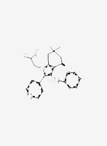 CC1(C)CC(=O)c2c(Nc3ccccc3)c(-c3ccncc3)n(CC(F)F)c2C1